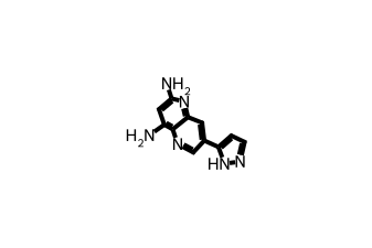 Nc1cc(N)c2ncc(-c3ccn[nH]3)cc2n1